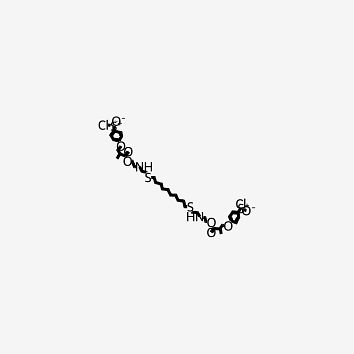 CC(COc1ccc([S+]([O-])Cl)cc1)C(=O)OCCNCCSCCCCCCCCCCSCCNCCOC(=O)C(C)COc1ccc([S+]([O-])Cl)cc1